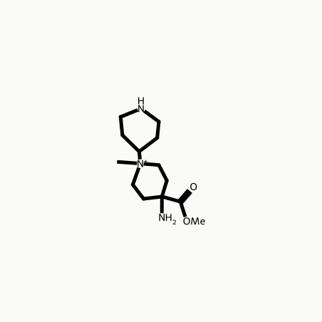 COC(=O)C1(N)CC[N+](C)(C2CCNCC2)CC1